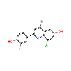 Oc1cc(Cl)c2nc(-c3ccc(O)c(F)c3)cc(Br)c2c1